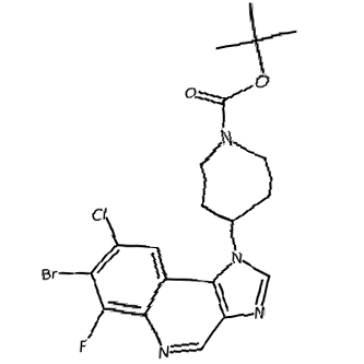 CC(C)(C)OC(=O)N1CCC(n2cnc3cnc4c(F)c(Br)c(Cl)cc4c32)CC1